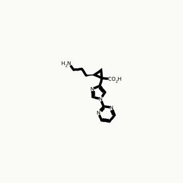 NCCC[C@H]1CC1(C(=O)O)c1cn(-c2ncccn2)cn1